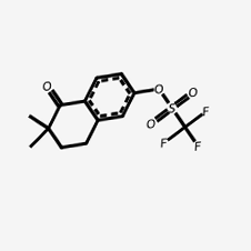 CC1(C)CCc2cc(OS(=O)(=O)C(F)(F)F)ccc2C1=O